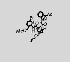 C=CCOC[C@@]12C[C@@H](C(=O)Nc3nc(Br)ccc3COC)N(C(=O)Cn3nc(C(C)=O)c4ccccc43)[C@@H]1C2